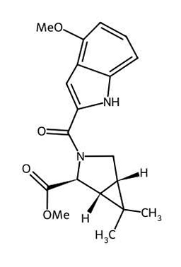 COC(=O)[C@@H]1[C@@H]2[C@H](CN1C(=O)c1cc3c(OC)cccc3[nH]1)C2(C)C